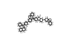 CC1(C)c2cc(-c3ccc4oc5ccccc5c4c3)ccc2-c2ccc(N3c4ccccc4Oc4cc(-c5ccc(N(c6ccccc6)c6cccc7ccccc67)cc5)ccc43)cc21